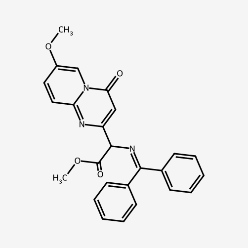 COC(=O)C(N=C(c1ccccc1)c1ccccc1)c1cc(=O)n2cc(OC)ccc2n1